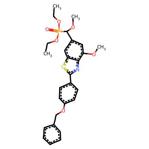 CCOP(=O)(OCC)C(OC)c1cc(OC)c2nc(-c3ccc(OCc4ccccc4)cc3)sc2c1